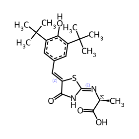 C[C@H](/N=C1\NC(=O)/C(=C/c2cc(C(C)(C)C)c(O)c(C(C)(C)C)c2)S1)C(=O)O